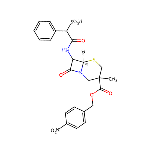 CC1(C(=O)OCc2ccc([N+](=O)[O-])cc2)CS[C@@H]2C(NC(=O)C(c3ccccc3)S(=O)(=O)O)C(=O)N2C1